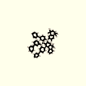 Cc1cc2c(cc1N1c3ccc(-c4ccccc4)cc3B3c4c1cc1c(c4-c4ccc(-c5ccccc5)cc4N3c3cccc(-c4ccccc4)c3)-c3ccccc3C1(C)C)C(C)(C)CCC2(C)C